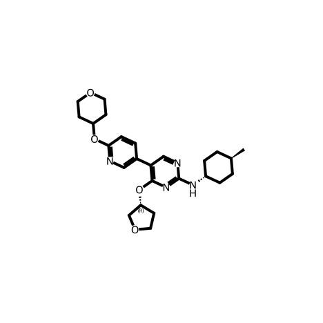 C[C@H]1CC[C@H](Nc2ncc(-c3ccc(OC4CCOCC4)nc3)c(O[C@@H]3CCOC3)n2)CC1